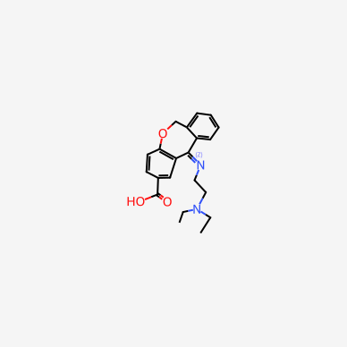 CCN(CC)CC/N=C1/c2ccccc2COc2ccc(C(=O)O)cc21